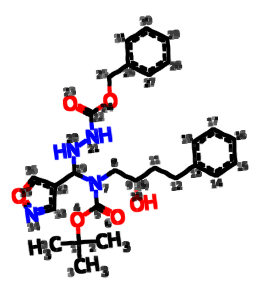 CC(C)(C)OC(=O)N(C[C@@H](O)CCc1ccccc1)C(NNC(=O)OCc1ccccc1)c1cnoc1